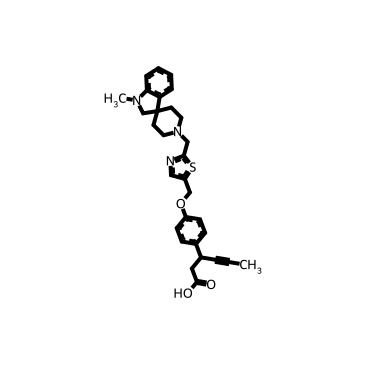 CC#CC(CC(=O)O)c1ccc(OCc2cnc(CN3CCC4(CC3)CN(C)c3ccccc34)s2)cc1